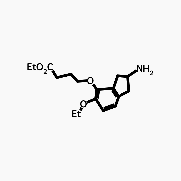 CCOC(=O)CCCOc1c(OCC)ccc2c1CC(N)C2